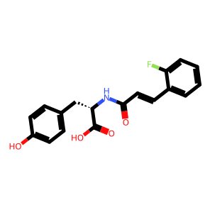 O=C(C=Cc1ccccc1F)N[C@@H](Cc1ccc(O)cc1)C(=O)O